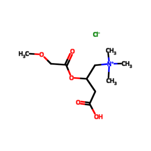 COCC(=O)OC(CC(=O)O)C[N+](C)(C)C.[Cl-]